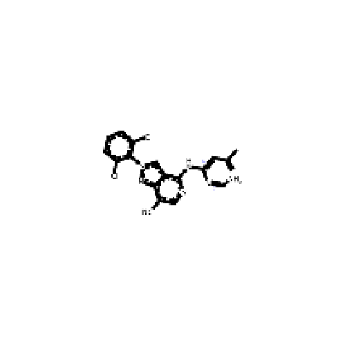 C=C(C)/C=C(\N=C/N)Nc1ncc(C#N)c2nn(-c3c(Cl)cccc3Cl)cc12